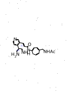 CC(=O)NCC1=CC=C(NC(=O)/C=C/c2cnccc2/C(C=N)=C/N)CC=C1